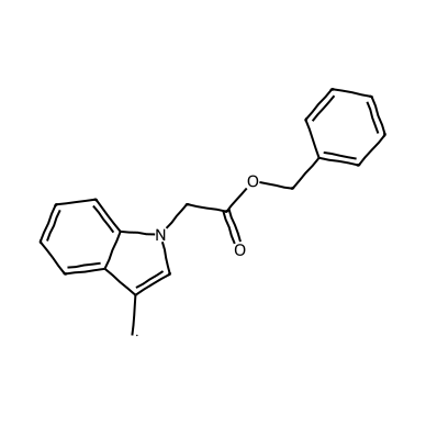 [CH2]c1cn(CC(=O)OCc2ccccc2)c2ccccc12